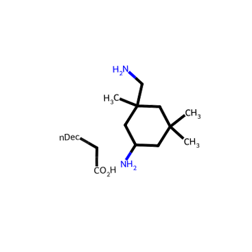 CC1(C)CC(N)CC(C)(CN)C1.CCCCCCCCCCCC(=O)O